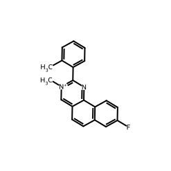 Cc1ccccc1-c1nc2c(ccc3cc(F)ccc32)c[n+]1C